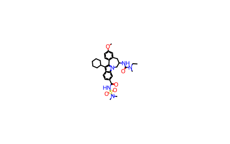 CCN(C)C(=O)NC1Cc2cc(OC)ccc2-c2c(C3CCCCC3)c3ccc(C(=O)NS(=O)(=O)N(C)C)cc3n2C1